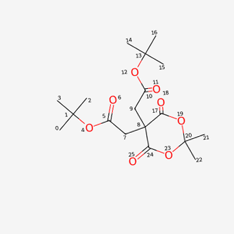 CC(C)(C)OC(=O)CC1(CC(=O)OC(C)(C)C)C(=O)OC(C)(C)OC1=O